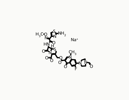 CCn1cc(C(=O)OCC2=C(C(=O)[O-])N3C(=O)[C@@H](NC(=O)C(=NOC)c4csc(N)n4)[C@H]3SC2)c(=O)c2cc(F)c(N3CCN(C=O)CC3)cc21.[Na+]